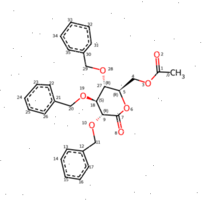 CC(=O)OC[C@H]1OC(=O)[C@H](OCc2ccccc2)[C@@H](OCc2ccccc2)[C@@H]1OCc1ccccc1